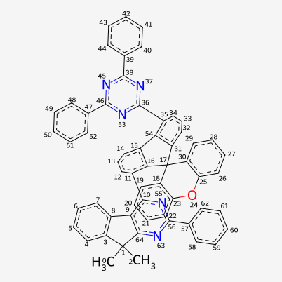 CC1(C)c2ccccc2-c2c(-c3cccc4c3C3(c5ccccc5Oc5ccccc53)c3cccc(-c5nc(-c6ccccc6)nc(-c6ccccc6)n5)c3-4)nc(-c3ccccc3)nc21